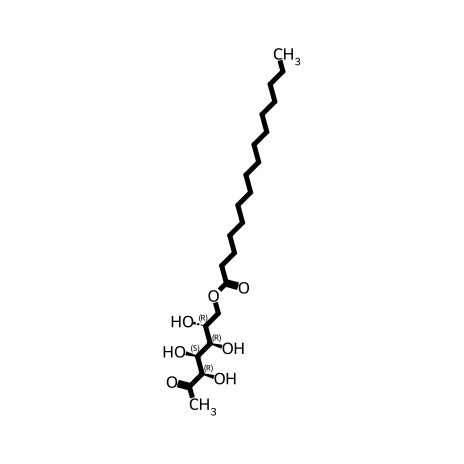 CCCCCCCCCCCCCCCC(=O)OC[C@@H](O)[C@@H](O)[C@H](O)[C@@H](O)C(C)=O